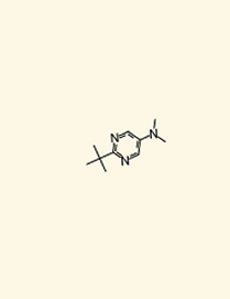 CN(C)c1cnc(C(C)(C)C)nc1